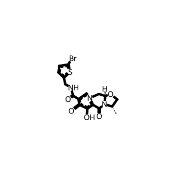 C[C@H]1CO[C@@H]2Cn3cc(C(=O)NCc4ccc(Br)s4)c(=O)c(O)c3C(=O)N12